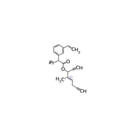 C#CC/C=C(\C)C(C#C)OC(=O)C(c1cccc(C=C)c1)C(C)C